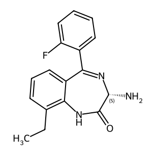 CCc1cccc2c1NC(=O)[C@@H](N)N=C2c1ccccc1F